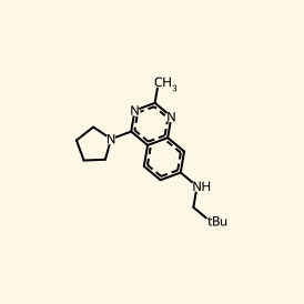 Cc1nc(N2CCCC2)c2ccc(NCC(C)(C)C)cc2n1